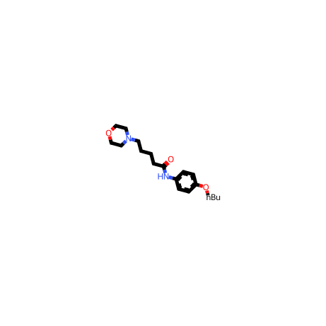 CCCCOc1ccc(NC(=O)CCCCN2CCOCC2)cc1